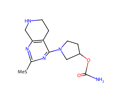 CSc1nc2c(c(N3CCC(OC(N)=O)C3)n1)CCNC2